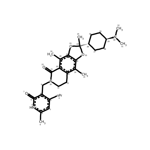 CCCc1cc(C)[nH]c(=O)c1CN1CCc2c(C)c3c(c(C)c2C1=O)OC(C)([C@H]1CC[C@H](N(C)C)CC1)O3